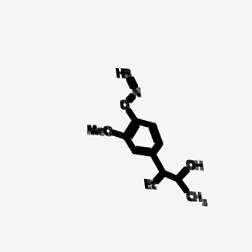 B=NOc1ccc(C(CC)C(C)O)cc1OC